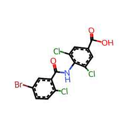 O=C(O)c1cc(Cl)c(NC(=O)c2cc(Br)ccc2Cl)c(Cl)c1